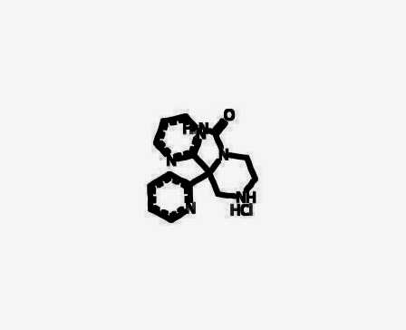 Cl.NC(=O)N1CCNCC1(c1ccccn1)c1ncccn1